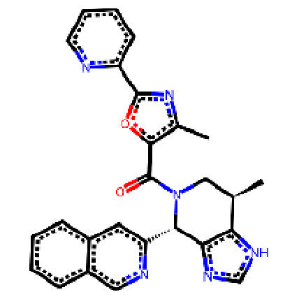 Cc1nc(-c2ccccn2)oc1C(=O)N1C[C@@H](C)c2[nH]cnc2[C@@H]1c1cc2ccccc2cn1